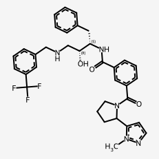 Cn1nccc1C1CCCN1C(=O)c1cccc(C(=O)N[C@@H](Cc2ccccc2)[C@H](O)CNCc2cccc(C(F)(F)F)c2)c1